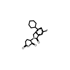 O=C1CCC(N2Cc3c(cc(F)cc3C3CCCCC3)C2=O)C(=O)N1